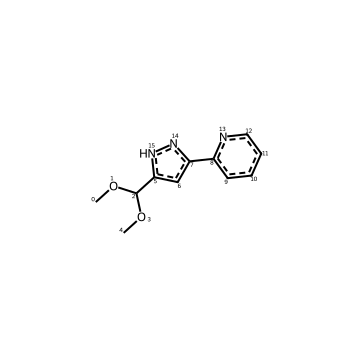 COC(OC)c1cc(-c2ccccn2)n[nH]1